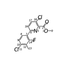 COC(=O)c1nc(-c2ccc(Cl)c(C)c2F)ccc1Cl